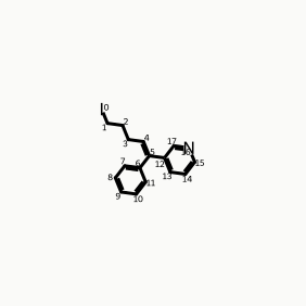 ICCC/C=C(\c1ccccc1)c1cccnc1